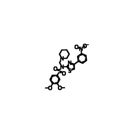 COc1ccc(S(=O)(=O)N(CN2CCCCC2)c2nc(-c3cccc([N+](=O)[O-])c3)cs2)cc1OC